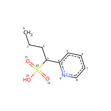 [CH2]CCC(c1ccccn1)S(=O)(=O)O